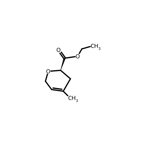 CCOC(=O)[C@H]1CC(C)=CCO1